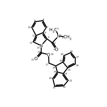 CN(C)C(=O)c1c2ccccc2cn1C(=O)OCC1c2ccccc2-c2ccccc21